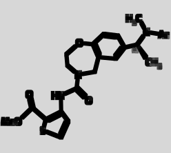 COC(=O)c1sccc1NC(=O)N1CCOc2ccc([C@H](C)N(C)C(C)=O)cc2C1